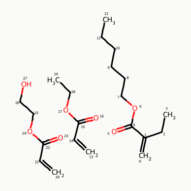 C=C(CC)C(=O)OCCCCCC.C=CC(=O)OCC.C=CC(=O)OCCO